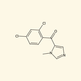 Cn1cncc1C(=O)c1ccc(Cl)cc1Cl